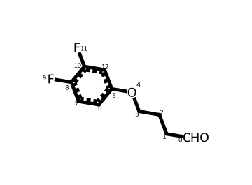 O=CCCCOc1ccc(F)c(F)c1